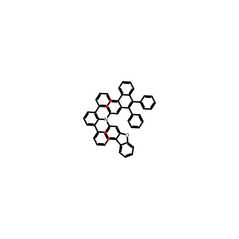 c1ccc(-c2cccc(-c3ccccc3)c2N(c2ccc3c(c2)oc2ccccc23)c2ccc3c(c2)c(-c2ccccc2)c(-c2ccccc2)c2ccccc23)cc1